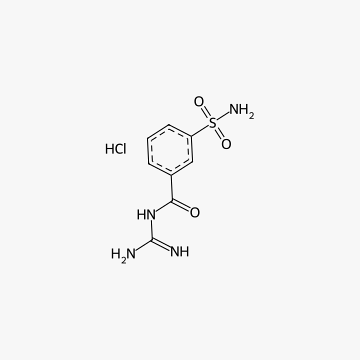 Cl.N=C(N)NC(=O)c1cccc(S(N)(=O)=O)c1